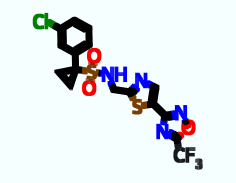 O=S(=O)(NCc1ncc(-c2noc(C(F)(F)F)n2)s1)C1(c2cccc(Cl)c2)CC1